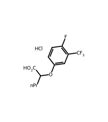 CCCC(Oc1ccc(F)c(C(F)(F)F)c1)C(=O)O.Cl